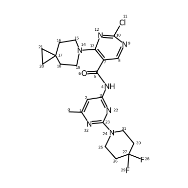 Cc1cc(NC(=O)c2cnc(Cl)nc2N2CCC3(CC2)CC3)nc(N2CCC(F)(F)CC2)n1